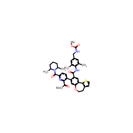 COC(=O)c1nc(C(=O)N2C(C)CCCC2C)ccc1-c1cc2c(cc1C(=O)Nc1c(C)cc(CNC(=O)OC(C)(C)C)cc1C)-c1sccc1CCO2